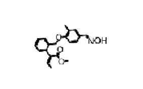 CC=C(C(=O)OC)c1ccccc1COc1ccc(C=NO)cc1C